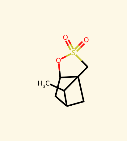 CC1C2CC3OS(=O)(=O)C1C3C2